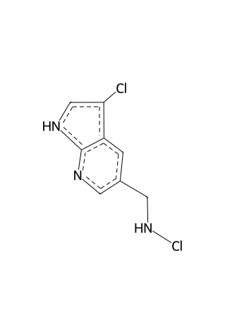 ClNCc1cnc2[nH]cc(Cl)c2c1